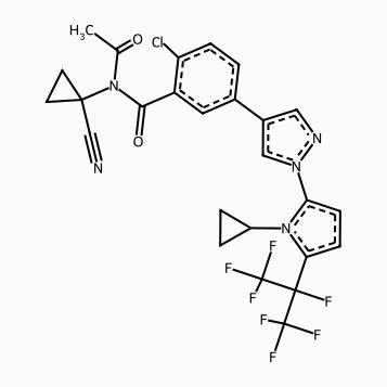 CC(=O)N(C(=O)c1cc(-c2cnn(-c3ccc(C(F)(C(F)(F)F)C(F)(F)F)n3C3CC3)c2)ccc1Cl)C1(C#N)CC1